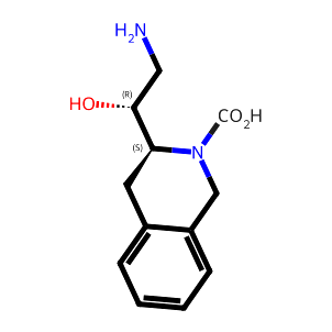 NC[C@@H](O)[C@@H]1Cc2ccccc2CN1C(=O)O